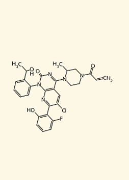 C=CC(=O)N1CCN(c2nc(=O)n(-c3ccccc3C(C)O)c3nc(-c4c(O)cccc4F)c(Cl)cc23)C(C)C1